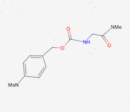 CNC(=O)CNC(=O)OCc1ccc(NC)cc1